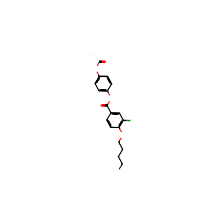 CCCCCCCCCCCCCCOc1ccc(C(=O)Oc2ccc(OC(=O)[C@@H](C)CC)cc2)cc1F